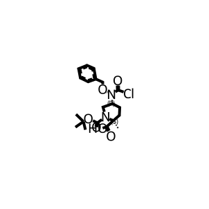 CC(C)(C)OC(=O)N1C[C@H](N(OCc2ccccc2)C(=O)Cl)CC[C@@]1(C)C(=O)O